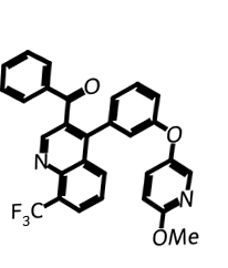 COc1ccc(Oc2cccc(-c3c(C(=O)c4ccccc4)cnc4c(C(F)(F)F)cccc34)c2)cn1